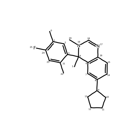 Cc1cc(C2(C)c3cc(C4CCCC4)ccc3N=CN2C)c(C)cc1F